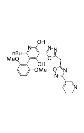 CCCCc1nc(O)c(-c2nnc(Cc3nc(-c4cccnc4)no3)o2)c(O)c1-c1c(OC)cccc1OC